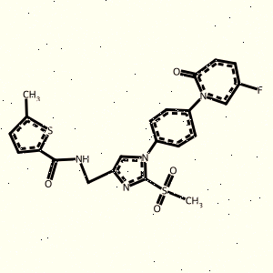 Cc1ccc(C(=O)NCc2cn(-c3ccc(-n4cc(F)ccc4=O)cc3)c(S(C)(=O)=O)n2)s1